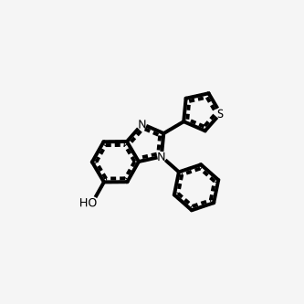 Oc1ccc2nc(-c3ccsc3)n(-c3ccccc3)c2c1